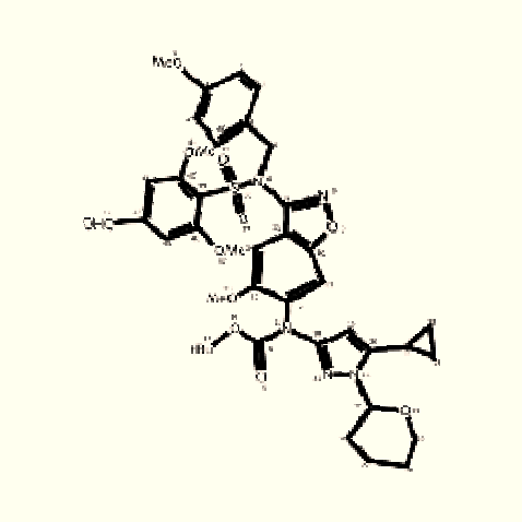 COc1ccc(CN(c2noc3cc(N(C(=O)OC(C)(C)C)c4cc(C5CC5)n(C5CCCCO5)n4)c(OC)cc23)S(=O)(=O)c2c(OC)cc(C=O)cc2OC)cc1